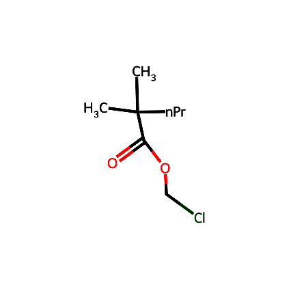 CCCC(C)(C)C(=O)OCCl